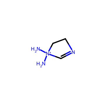 N[N+]1(N)C=NCC1